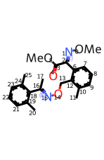 CO/N=C(/C(=O)OC)c1cccc(C)c1CO/N=C(\C)c1c(C)cccc1C